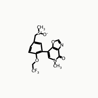 Cn1cc(-c2cc(C[S+](C)[O-])ccc2OCC(F)(F)F)c2ocnc2c1=O